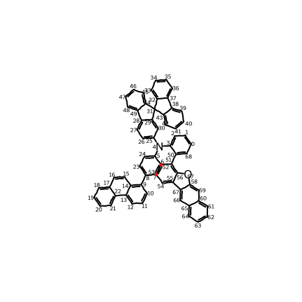 c1ccc(N(c2ccc(-c3cccc4c3ccc3ccccc34)cc2)c2ccc3c(c2)C2(c4ccccc4-c4ccccc42)c2ccccc2-3)c(-c2cccc3c2oc2cc4ccccc4cc23)c1